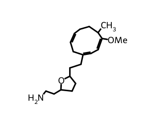 CO/C1=C/C=C(/CCC2CCC(CCN)O2)C/C=C\CCC1C